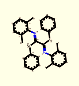 Cc1cccc(C)c1N=C([Se]c1ccccc1)C(=Nc1c(C)cccc1C)[Se]c1ccccc1